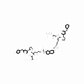 CNC(C)C(=O)NC(CCCCNS(=O)(=O)c1ccc2ccc(S(=O)(=O)NCCCCC(NC(=O)C(C)NC)C(=O)N3CCCC3c3cncc(C(=O)c4ccc(F)cc4)c3)cc2c1)C(=O)N1CCCC1c1cncc(C(=O)c2ccc(F)cc2)c1